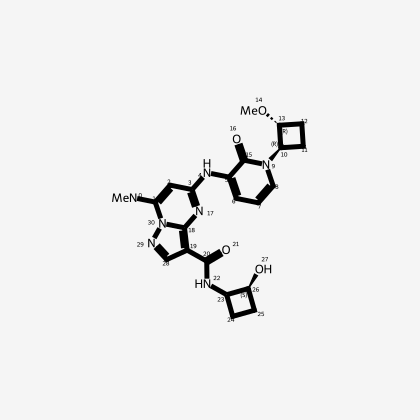 CNc1cc(Nc2cccn([C@@H]3CC[C@H]3OC)c2=O)nc2c(C(=O)NC3CC[C@@H]3O)cnn12